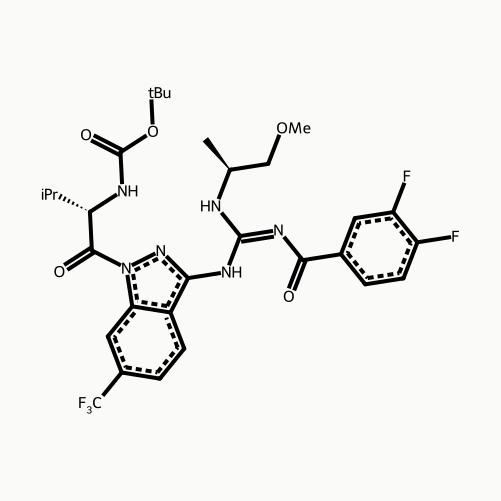 COC[C@H](C)N/C(=N/C(=O)c1ccc(F)c(F)c1)Nc1nn(C(=O)[C@@H](NC(=O)OC(C)(C)C)C(C)C)c2cc(C(F)(F)F)ccc12